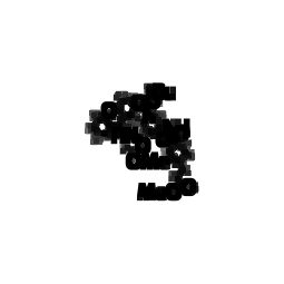 COCCCCC1(CNC(=O)[C@H]2C[C@@H](NS(=O)(=O)c3ccc(CCC(=O)OC)cc3)CN(C(=O)OC(C)(C)C)C2)c2ccccc2Oc2ccccc21